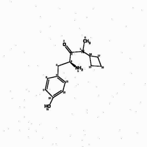 CN(C(=O)[C@@H](N)Cc1ccc(O)cc1)C1CCC1